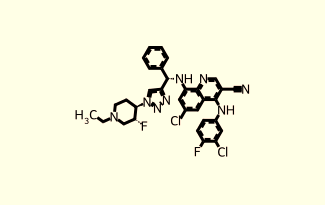 CCN1CC[C@@H](n2cc([C@@H](Nc3cc(Cl)cc4c(Nc5ccc(F)c(Cl)c5)c(C#N)cnc34)c3ccccc3)nn2)[C@H](F)C1